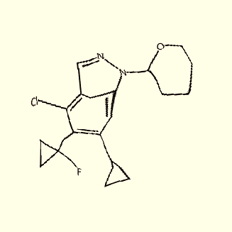 FC1(c2c(C3CC3)cc3c(cnn3C3CCCCO3)c2Cl)CC1